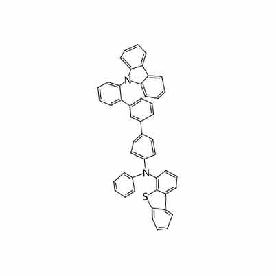 c1ccc(N(c2ccc(-c3cccc(-c4ccccc4-n4c5ccccc5c5ccccc54)c3)cc2)c2cccc3c2sc2ccccc23)cc1